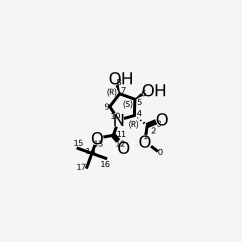 COC(=O)[C@H]1[C@H](O)[C@H](O)CN1C(=O)OC(C)(C)C